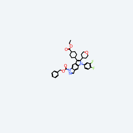 CCOC(=O)C1CCC(c2c(C3CCOCC3)n(-c3ccc(F)c(F)c3)c3cc4cnn(C(=O)OCc5ccccc5)c4cc23)CC1